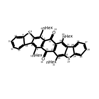 CCCCCCc1c2c(c(CCCCCC)c3c1sc1ccccc13)C(=O)c1c(c(CCCCCC)c3c(sc4ccccc43)c1CCCCCC)C2=O